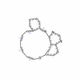 C1=C\C=C/Oc2ccc3ncnc(c3c2)/N=c2/cccc/c2=C\C=C/1